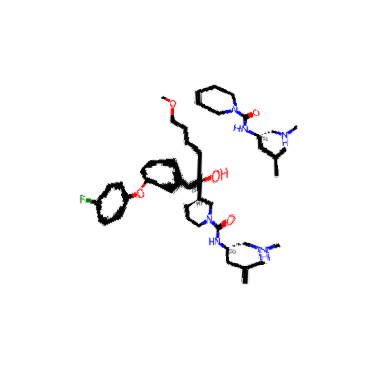 CNC[C@H](CC(C)C)NC(=O)N1CCCCC1.CNC[C@H](CC(C)C)NC(=O)N1CCC[C@@H]([C@@](O)(CCCCOC)c2cccc(Oc3ccc(F)cc3)c2)C1